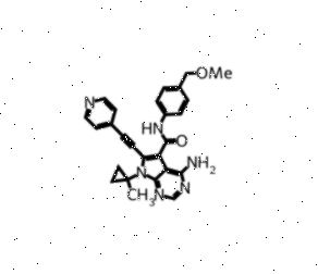 COCc1ccc(NC(=O)c2c(C#Cc3ccncc3)n(C3(C)CC3)c3ncnc(N)c23)cc1